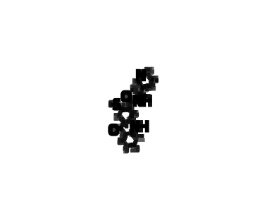 CSc1cc2c(=O)c3ccccc3[nH]c2cc1C(=O)NC(C)(C)c1cccnc1